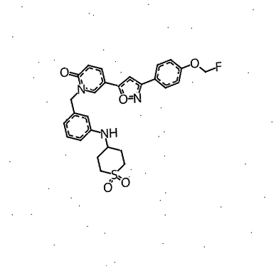 O=c1ccc(-c2cc(-c3ccc(OCF)cc3)no2)cn1Cc1cccc(NC2CCS(=O)(=O)CC2)c1